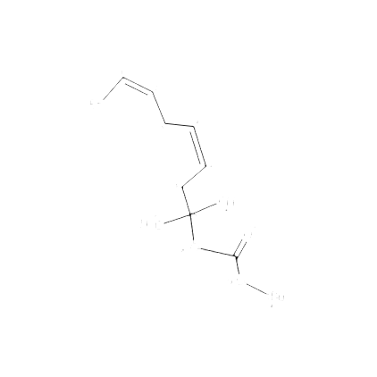 CC/C=C\C/C=C\CC(C)(C)OC(=O)OC(C)CC